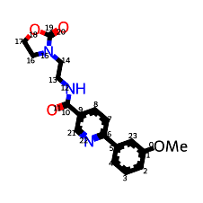 COc1cccc(-c2ccc(C(=O)NCCN3CCOC3=O)cn2)c1